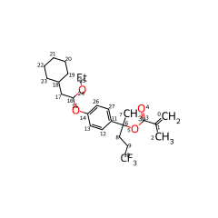 C=C(C)C(=O)OC(C)(CCC(F)(F)F)c1ccc(OC(CC2CCCCC2)OCC)cc1